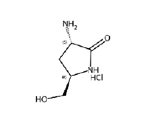 Cl.N[C@H]1C[C@H](CO)NC1=O